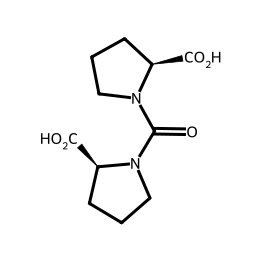 O=C(O)[C@@H]1CCCN1C(=O)N1CCC[C@H]1C(=O)O